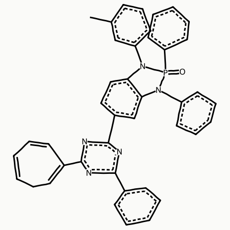 Cc1cccc(N2c3ccc(-c4nc(C5=CCC=CC=C5)nc(-c5ccccc5)n4)cc3N(c3ccccc3)P2(=O)c2ccccc2)c1